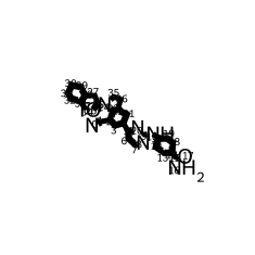 N#Cc1cc(-c2ccnc(Nc3ccc(C(N)=O)cc3)n2)cc2c1N(C(=O)Cc1ccccc1F)CC2